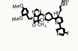 COc1ccc(CN2C(=O)C(C)(C)c3c(N4CCC(c5nc(-c6cncc(F)c6)ccc5NCCNC(C)(C)C)CC4)ncnc32)c(OC)c1